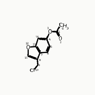 CC(=O)Oc1ccc2c(CCl)coc2c1